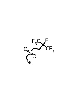 [C-]#[N+]CS(=O)(=O)CCC(F)(C(F)(F)F)C(F)(F)F